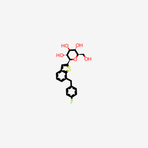 OC[C@H]1O[C@@H](c2cc3cccc(Cc4ccc(F)cc4)c3s2)[C@H](O)[C@@H](O)[C@@H]1O